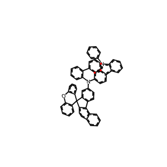 c1ccc(-c2ccccc2N(c2ccc3c(c2)C2(c4ccccc4Oc4ccccc42)c2ccc4ccccc4c2-3)c2ccc3c4ccccc4n(-c4ccccc4)c3c2)cc1